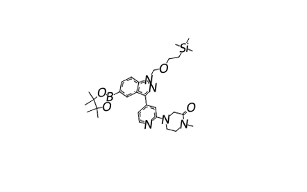 CN1CCN(c2cc(-c3nn(COCC[Si](C)(C)C)c4ccc(B5OC(C)(C)C(C)(C)O5)cc34)ccn2)CC1=O